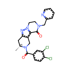 C[C@@H]1Cc2nn3c(c2CN1C(=O)c1ccc(Cl)c(Cl)c1)C(=O)N(Cc1ccccn1)CC3